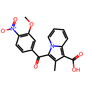 COc1cc(C(=O)c2c(C)c(C(=O)O)c3ccccn23)ccc1[N+](=O)[O-]